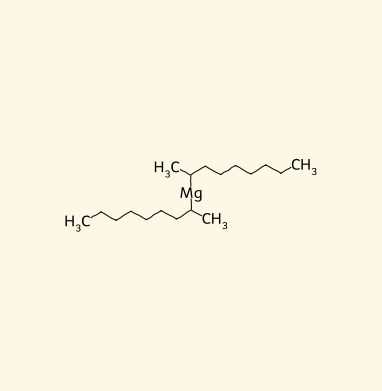 CCCCCCC[CH](C)[Mg][CH](C)CCCCCCC